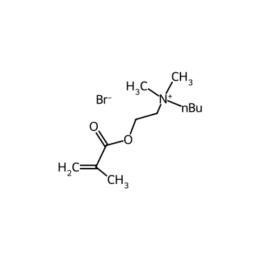 C=C(C)C(=O)OCC[N+](C)(C)CCCC.[Br-]